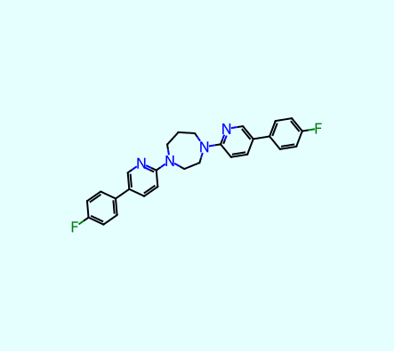 Fc1ccc(-c2ccc(N3CCCN(c4ccc(-c5ccc(F)cc5)cn4)CC3)nc2)cc1